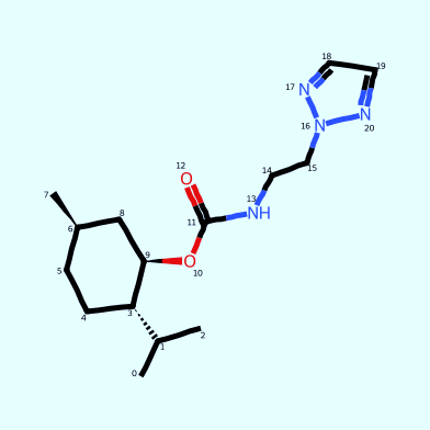 CC(C)[C@@H]1CC[C@@H](C)C[C@H]1OC(=O)NCCn1nccn1